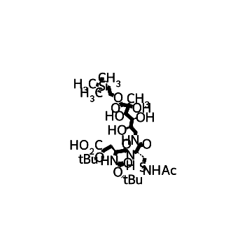 CC(=O)NSC[C@H](NC(=O)[C@H](CC(OC(C)(C)C)C(=O)O)NC(=O)OC(C)(C)C)C(=O)NC[C@@H](O)[C@@H](O)[C@H](O)[C@@](C)(O)C(=O)OCC[Si](C)(C)C